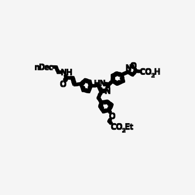 CCCCCCCCCCCCNC(=O)/C=C/c1ccc(-c2[nH]c(-c3ccc(C4=NOC(C(=O)O)C4)cc3)nc2Cc2ccc(OCC(=O)OCC)cc2)cc1